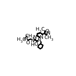 Cc1noc(C)c1-c1ccc2nc(NCC(=O)N(C)C)c(=O)n(CC3CCCCC3)c2n1